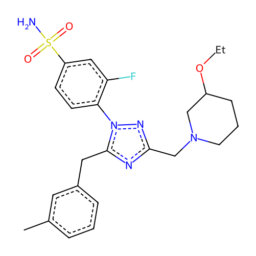 CCOC1CCCN(Cc2nc(Cc3cccc(C)c3)n(-c3ccc(S(N)(=O)=O)cc3F)n2)C1